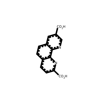 O=C(O)c1cnc2c(ccc3ccc(C(=O)O)nc32)c1